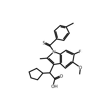 COc1cc2c(C(C(=O)O)C3CCCC3)c(C)n(C(=S)c3ccc(C)cc3)c2cc1F